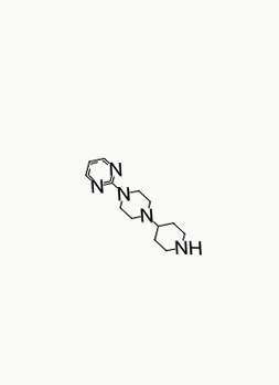 c1cnc(N2CCN(C3CCNCC3)CC2)nc1